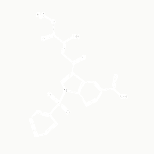 COC(=O)C(O)=CC(=O)c1cn(S(=O)(=O)c2ccccc2)c2ccc(C(=O)O)cc12